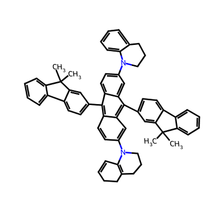 CC1(C)c2ccccc2-c2ccc(-c3c4ccc(N5CCCC6=C5C=CCC6)cc4c(-c4ccc5c(c4)C(C)(C)c4ccccc4-5)c4cc(N5CCCc6ccccc65)ccc34)cc21